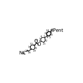 CCCCCc1ccc(C2CCC(OC(=O)C3CCC(C=CC#N)CC3)CC2)cc1